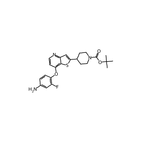 CC(C)(C)OC(=O)N1CCC(c2cc3nccc(Oc4ccc(N)cc4F)c3s2)CC1